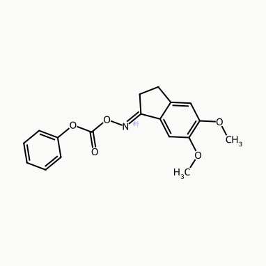 COc1cc2c(cc1OC)/C(=N/OC(=O)Oc1ccccc1)CC2